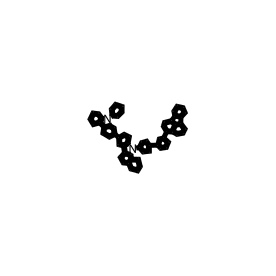 c1ccc(-n2c3ccccc3c3ccc(-c4ccc5c(c4)c4ccc6ccccc6c4n5-c4ccc(-c5cccc(-c6ccc7c8c(cccc68)-c6ccccc6-7)c5)cc4)cc32)cc1